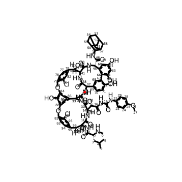 CN[C@H](CC(C)C)C(=O)N[C@H]1C(=O)N[C@@H](CC(=O)NC(=O)Nc2ccc(OC)cc2)C(=O)N[C@H]2C(=O)N[C@H]3C(=O)N[C@H](C(=O)N[C@H](C(=O)NC4C5CC6CC(C5)CC4C6)c4cc(O)cc(O)c4-c4cc3ccc4O)[C@H](O)c3ccc(c(Cl)c3)Oc3cc2cc(c3O)Oc2ccc(cc2Cl)[C@H]1O